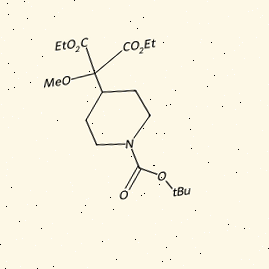 CCOC(=O)C(OC)(C(=O)OCC)C1CCN(C(=O)OC(C)(C)C)CC1